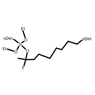 CCCCCCCCCCCCCCCCCC(C)(F)O[Si](CCCCCCCCCC)(OCC)OCC